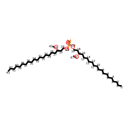 CCCCCCCCCCCCCCCCCC(CCO[PH](=O)OCCC(CCCCCCCCCCCCCCCCC)OC)OC